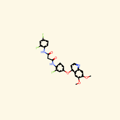 COc1cc2nccc(Oc3ccc(NC(=O)CC(=O)Nc4ccc(F)cc4F)c(F)c3)c2cc1OC